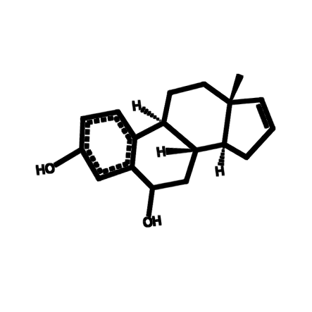 C[C@@]12C=CC[C@H]1[C@@H]1CC(O)c3cc(O)ccc3[C@H]1CC2